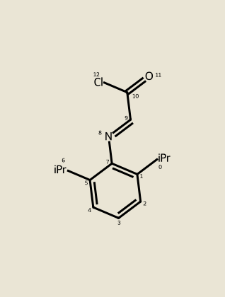 CC(C)c1cccc(C(C)C)c1N=CC(=O)Cl